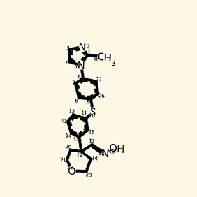 Cc1nccn1-c1ccc(Sc2cccc(C3(C=NO)CCOCC3)c2)cc1